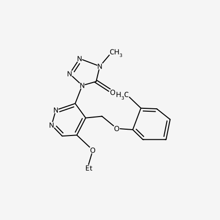 CCOc1cnnc(-n2nnn(C)c2=O)c1COc1ccccc1C